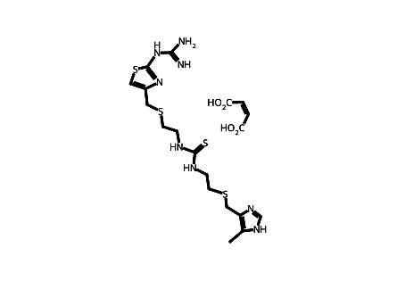 Cc1[nH]cnc1CSCCNC(=S)NCCSCc1csc(NC(=N)N)n1.O=C(O)/C=C\C(=O)O